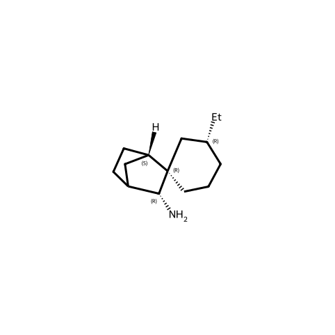 CC[C@@H]1CCC[C@@]2(C1)[C@H]1CCC(C1)[C@H]2N